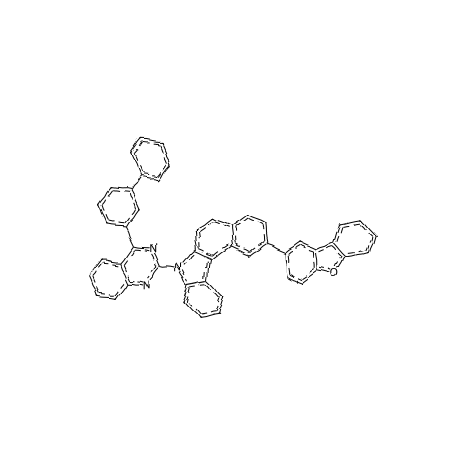 c1ccc(-c2cccc(-c3nc(-n4c5ccccc5c5c6cc(-c7ccc8oc9ccccc9c8c7)ccc6ccc54)nc4ccccc34)c2)cc1